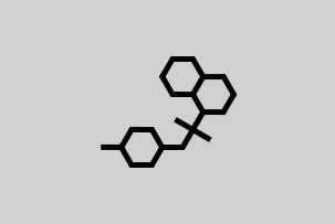 CC1CCC(CC(C)(C)C2CCCC3CCCCC32)CC1